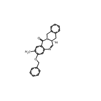 Cc1cc2c(cc1OCc1ccccc1)N=C[C@@H]1Cc3ccccc3CN1C2=O